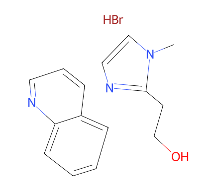 Br.Cn1ccnc1CCO.c1ccc2ncccc2c1